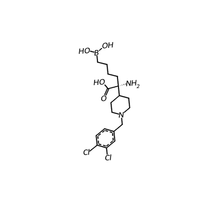 N[C@@](CCCCB(O)O)(C(=O)O)C1CCN(Cc2ccc(Cl)c(Cl)c2)CC1